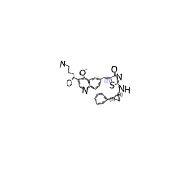 COc1c(C(=O)CCCN(C)C)cnc2ccc(/C=C3\SC(N[C@@H]4C[C@H]4c4ccccc4)=NC3=O)cc12